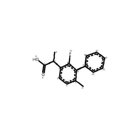 Cc1ccc(C(C)C(=O)O)c(F)c1-c1ccccc1